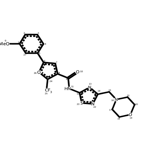 COc1cccc(-c2cc(C(=O)Nc3nc(CN4CCOCC4)ns3)c(C(F)(F)F)o2)c1